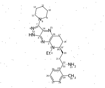 CCN1c2nc3[nH]nc(N4CCCCC4)c3nc2CC[C@H]1CC[C@H](N)c1ccccc1C